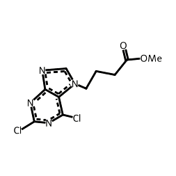 COC(=O)CCCn1cnc2nc(Cl)nc(Cl)c21